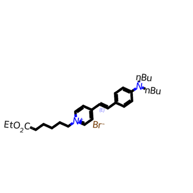 CCCCN(CCCC)c1ccc(/C=C/c2cc[n+](CCCCCC(=O)OCC)cc2)cc1.[Br-]